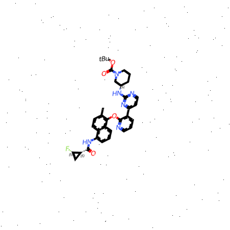 Cc1ccc2c(NC(=O)[C@@H]3C[C@@H]3F)cccc2c1Oc1ncccc1-c1ccnc(N[C@H]2CCCN(C(=O)OC(C)(C)C)C2)n1